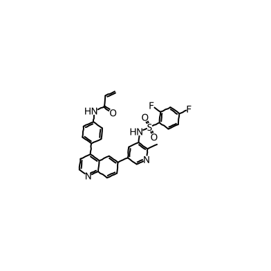 C=CC(=O)Nc1ccc(-c2ccnc3ccc(-c4cnc(C)c(NS(=O)(=O)c5ccc(F)cc5F)c4)cc23)cc1